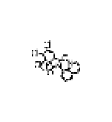 O=C1C2C=C(Cl)C(Cl)=C(Cl)C2(Cl)C(=O)N1c1cccc2cccnc12